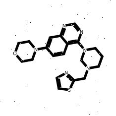 c1csc(CN2CCCN(c3ncnc4cc(N5CCOCC5)ccc34)C2)n1